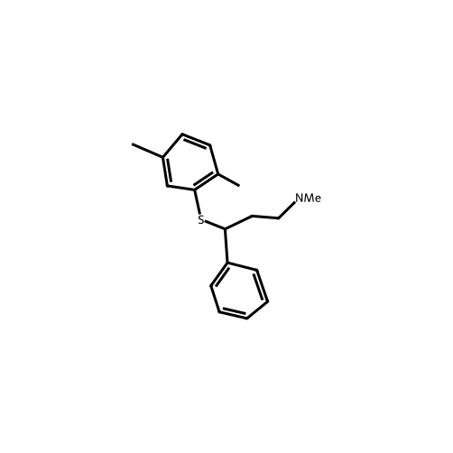 CNCCC(Sc1cc(C)ccc1C)c1ccccc1